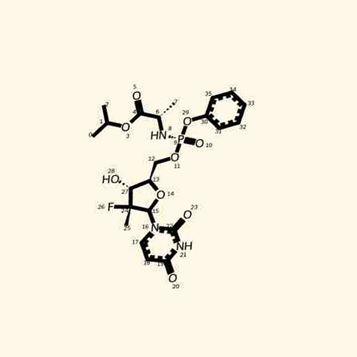 CC(C)OC(=O)[C@H](C)N[P@](=O)(OC[C@H]1OC(n2ccc(=O)[nH]c2=O)[C@](C)(F)[C@@H]1O)Oc1ccccc1